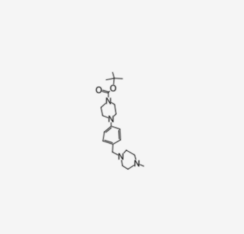 CN1CCN(Cc2ccc(N3CCN(C(=O)OC(C)(C)C)CC3)cc2)CC1